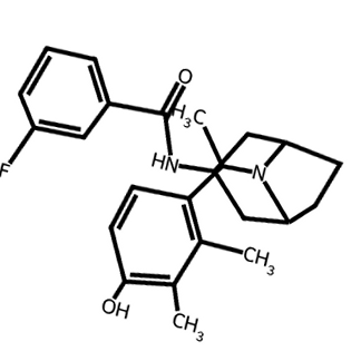 Cc1c(O)ccc(C(C)N2C3CCC2CC(NC(=O)c2cccc(F)c2)C3)c1C